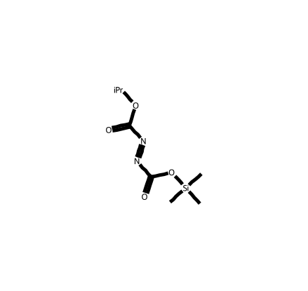 CC(C)OC(=O)/N=N/C(=O)O[Si](C)(C)C